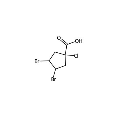 O=C(O)C1(Cl)CC(Br)C(Br)C1